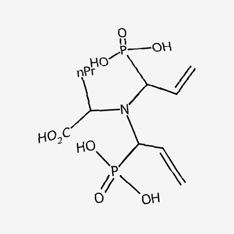 C=CC(N(C(CCC)C(=O)O)C(C=C)P(=O)(O)O)P(=O)(O)O